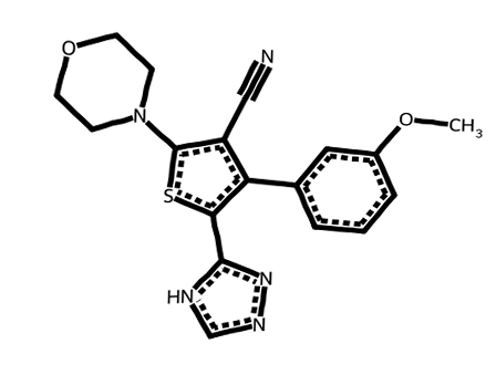 COc1cccc(-c2c(-c3nnc[nH]3)sc(N3CCOCC3)c2C#N)c1